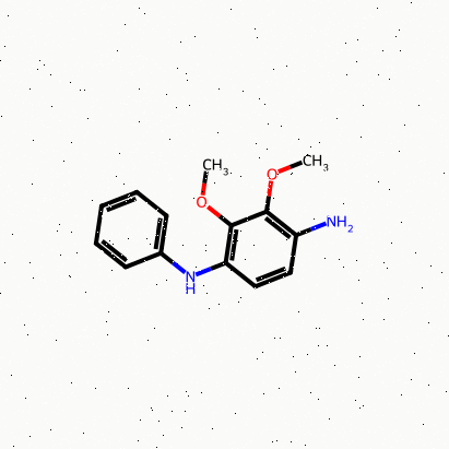 COc1c(N)ccc(Nc2ccccc2)c1OC